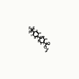 CCOC(=O)c1cnc(-c2ccc(C(F)(F)F)cc2)nc1